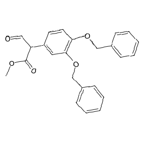 COC(=O)C(C=O)c1ccc(OCc2ccccc2)c(OCc2ccccc2)c1